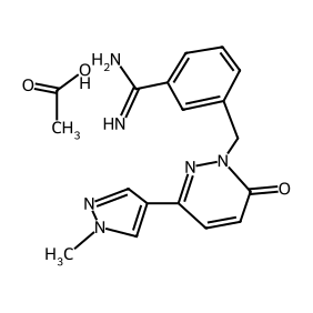 CC(=O)O.Cn1cc(-c2ccc(=O)n(Cc3cccc(C(=N)N)c3)n2)cn1